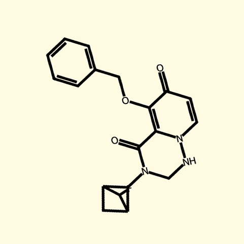 O=C1c2c(OCc3ccccc3)c(=O)ccn2NCN1C1C2CC1C2F